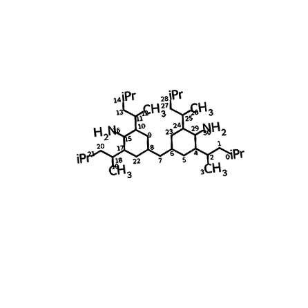 CC(C)CC(C)C1CC(CC2CC(C(C)CC(C)C)C(N)C(C(C)CC(C)C)C2)CC(C(C)CC(C)C)C1N